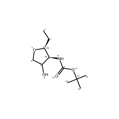 CC[C@@H]1OCC(O)[C@@H]1NC(=O)OC(C)(C)C